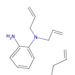 C=CCC.C=CCN(CC=C)c1ccccc1N